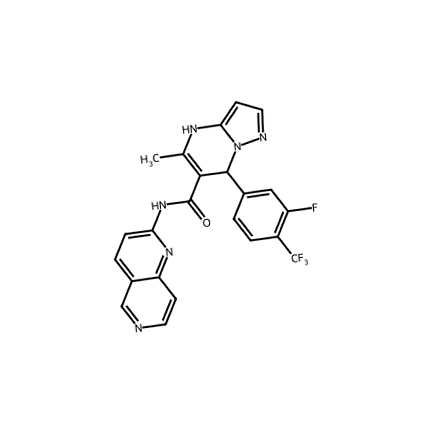 CC1=C(C(=O)Nc2ccc3cnccc3n2)C(c2ccc(C(F)(F)F)c(F)c2)n2nccc2N1